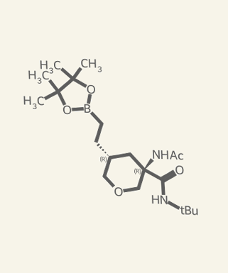 CC(=O)N[C@@]1(C(=O)NC(C)(C)C)COC[C@H](CCB2OC(C)(C)C(C)(C)O2)C1